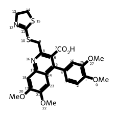 COc1ccc(-c2c(C(=O)O)c(CSC3=NCCS3)nc3cc(OC)c(OC)cc23)cc1OC